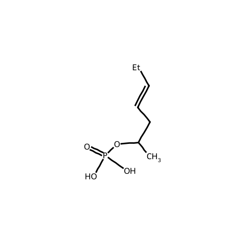 CCC=CCC(C)OP(=O)(O)O